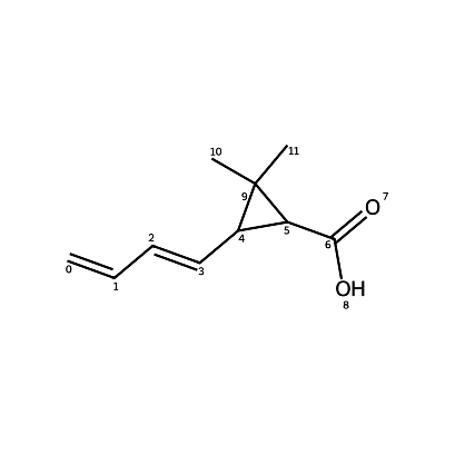 C=CC=CC1C(C(=O)O)C1(C)C